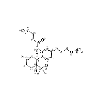 CC1=C[C@H]2c3c(OC(=O)/C=C/C(=O)O)cc(CCCO[N+](=O)[O-])cc3OC(C)(C)[C@@H]2CC1